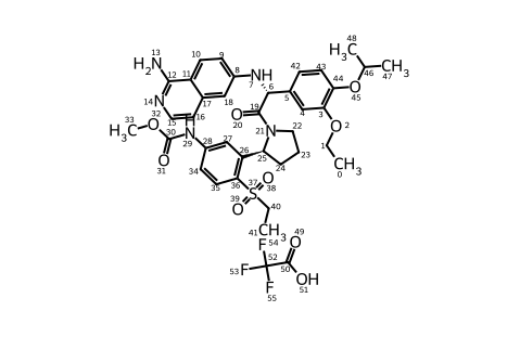 CCOc1cc([C@@H](Nc2ccc3c(N)nccc3c2)C(=O)N2CCC[C@H]2c2cc(NC(=O)OC)ccc2S(=O)(=O)CC)ccc1OC(C)C.O=C(O)C(F)(F)F